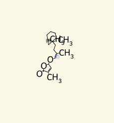 CC1=CC(O/C=C(/C)CCC23C[C@@]2(C)CCCC3C)OC1=O